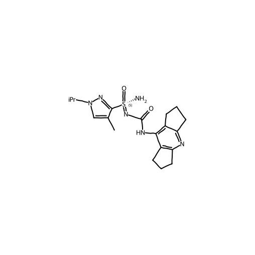 Cc1cn(C(C)C)nc1[S@@](N)(=O)=NC(=O)Nc1c2c(nc3c1CCC3)CCC2